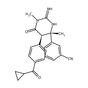 CN1C(=N)N[C@](C)(c2cccc(C#N)c2)[C@@H](c2ccc(C(=O)C3CC3)cc2)C1=O